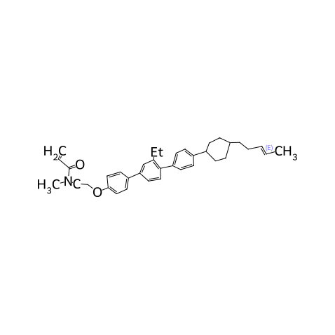 C=CC(=O)N(C)CCOc1ccc(-c2ccc(-c3ccc(C4CCC(CC/C=C/C)CC4)cc3)c(CC)c2)cc1